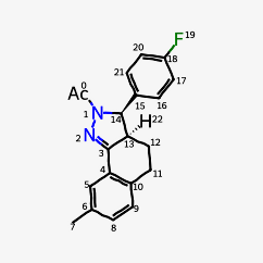 CC(=O)N1N=C2c3cc(C)ccc3CC[C@@H]2[C@@H]1c1ccc(F)cc1